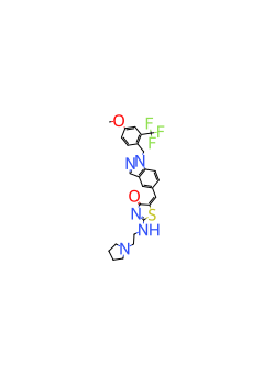 COc1ccc(Cn2ncc3cc(C=C4SC(NCCN5CCCC5)=NC4=O)ccc32)c(C(F)(F)F)c1